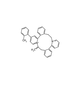 C=C1Cc2ccccc2-c2cccc[n+]2CCc2ccccc2-c2cc(-c3ccccc3C)cc[n+]21